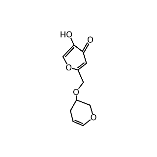 O=c1cc(COC2CC=COC2)occ1O